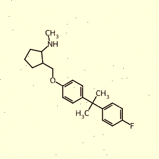 CNC1CCCC1COc1ccc(C(C)(C)c2ccc(F)cc2)cc1